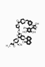 C=CC(=O)N1CCN(c2nc(OC[C@H]3CCN(C(=O)C4CCN(Cc5ccc(-n6c(O)nnc6-c6cc(C(C)C)c(O)cc6O)cc5)CC4)C3)nc3c2CCN(c2cccc4cccc(Cl)c24)C3)C[C@@H]1CC#N